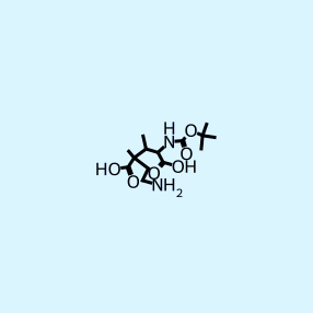 CC(C(NC(=O)OC(C)(C)C)C(=O)O)C(C)(CCN)C(=O)O